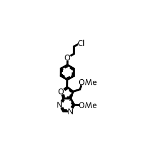 COCc1c(-c2ccc(OCCCl)cc2)oc2ncnc(OC)c12